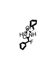 O=C(N[C@@H](Cc1ccccc1)P(O)O)[C@@H](F)c1ccccc1